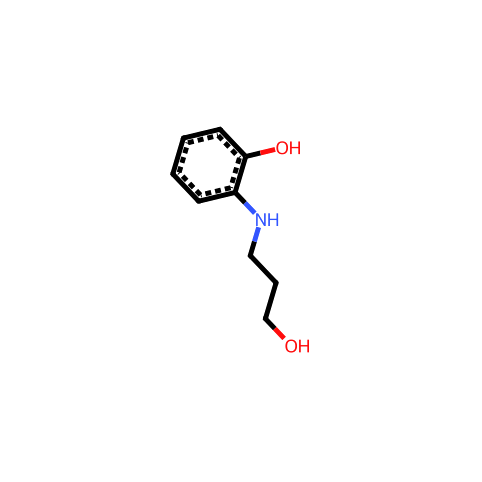 OCCCNc1ccccc1O